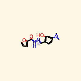 CN(C)c1ccc(/C=N/NC(=O)c2ccco2)c(O)c1